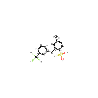 Cc1ccc(S(=O)(O)=S)c(Cc2cccc(C(F)(F)F)c2)c1